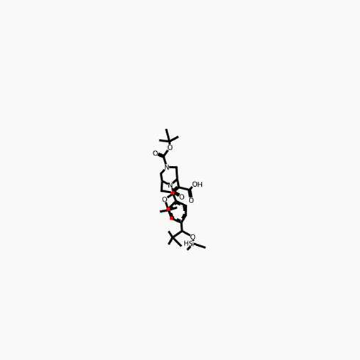 C[SiH](C)OC(c1ccc(C2=C(C(=O)O)C3CN(C(=O)OC(C)(C)C)CC(C2)N3C(=O)OC(C)(C)C)cc1)C(C)(C)C